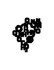 CC(=O)C12CCC(CNC(=O)c3cc(C(=O)NCc4ccc5c(c4)NC(=O)CO5)nc4ncnn34)(CC1)CC2